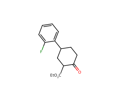 CCOC(=O)C1CC(c2ccccc2F)CCC1=O